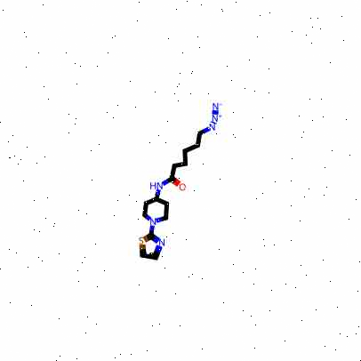 [N-]=[N+]=NCCCCCC(=O)NC1CCN(c2nccs2)CC1